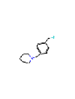 FCc1ccc(CN2CCCCC2)cc1